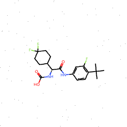 CC(C)(C)c1ccc(NC(=O)[C@@H](NC(=O)O)C2CCC(F)(F)CC2)cc1F